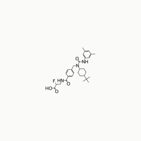 Cc1cc(C)cc(NC(=O)N(Cc2ccc(C(=O)NCC(F)C(=O)O)cc2)C2CCC(C(C)(C)C)CC2)c1